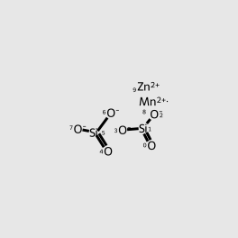 O=[Si]([O-])[O-].O=[Si]([O-])[O-].[Mn+2].[Zn+2]